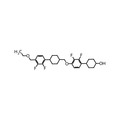 CCOCc1ccc(C2CCC(COc3ccc(C4CCC(O)CC4)c(F)c3F)CC2)c(F)c1F